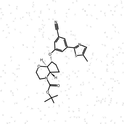 Cc1cnc(-c2cc(C#N)cc(O[C@@H]3CC[C@H]4[C@H]3OCCN4C(=O)OC(C)(C)C)c2)s1